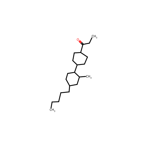 CCCCCC1CCC(C2CCC(C(=O)CC)CC2)C(C)C1